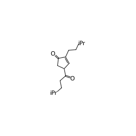 CC(C)CCC(=O)C1C=C(CCC(C)C)C(=O)C1